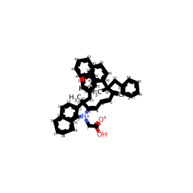 C=C(/C=C/C=C1/N(CC(=O)O)c2c(ccc3ccccc23)C1(C)Cc1ccccc1)C(C)(Cc1ccccc1)c1ccc2ccccc2c1C